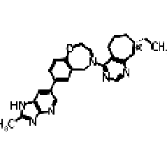 CC[C@H]1CCCc2c(ncnc2N2CCOc3ccc(-c4cnc5nc(C)[nH]c5c4)cc3C2)C1